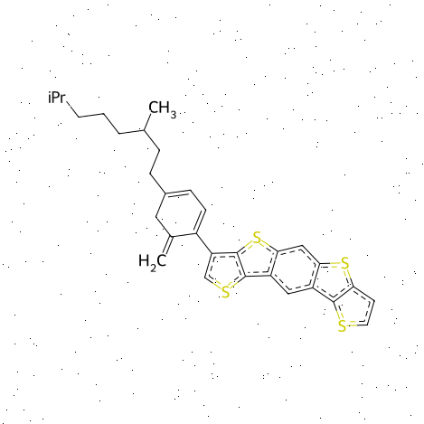 C=C1CC(CCC(C)CCCC(C)C)=CC=C1c1csc2c1sc1cc3sc4ccsc4c3cc12